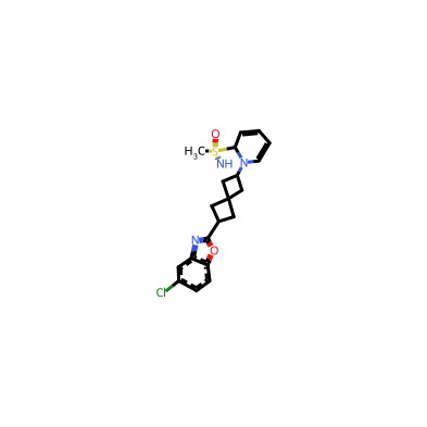 CS(=N)(=O)C1C=CC=CN1C1CC2(CC(c3nc4cc(Cl)ccc4o3)C2)C1